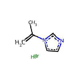 Br.C=C(C)n1ccnc1